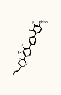 C/C=C/C1COC(c2ccc(-c3ccc(-c4ccc(CCCCCCCCC)c(F)c4F)cc3)c(F)c2F)OC1